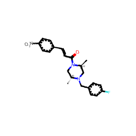 C[C@@H]1CN(C(=O)C=Cc2ccc([N+](=O)[O-])cc2)[C@@H](C)CN1Cc1ccc(F)cc1